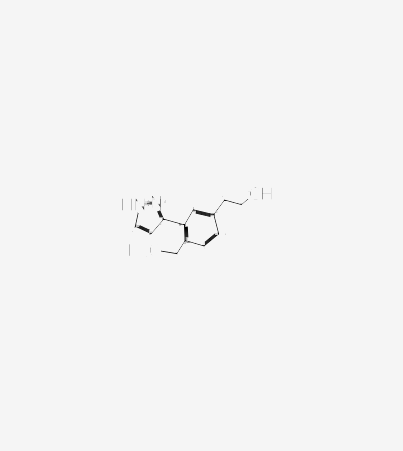 CCCc1ccc(CC)c(-c2cc[nH]n2)c1